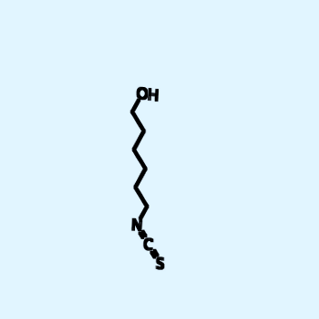 OCCCCCCN=C=S